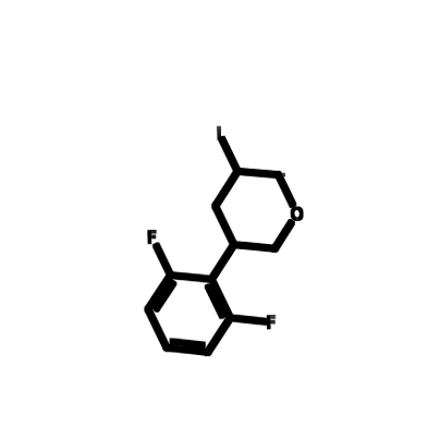 Fc1cccc(F)c1C1CO[CH]C(I)C1